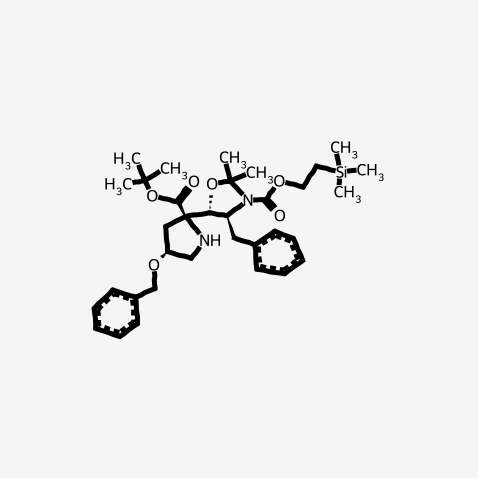 CC(C)(C)OC(=O)[C@]1([C@@H]2OC(C)(C)N(C(=O)OCC[Si](C)(C)C)[C@H]2Cc2ccccc2)C[C@@H](OCc2ccccc2)CN1